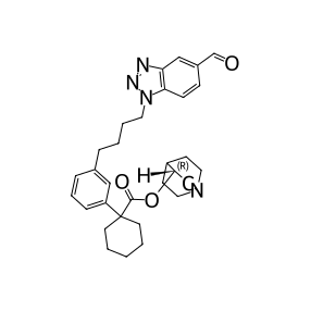 O=Cc1ccc2c(c1)nnn2CCCCc1cccc(C2(C(=O)O[C@H]3CN4CCC3CC4)CCCCC2)c1